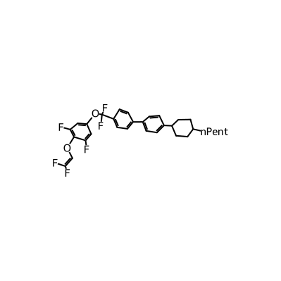 CCCCCC1CCC(c2ccc(-c3ccc(C(F)(F)Oc4cc(F)c(OC=C(F)F)c(F)c4)cc3)cc2)CC1